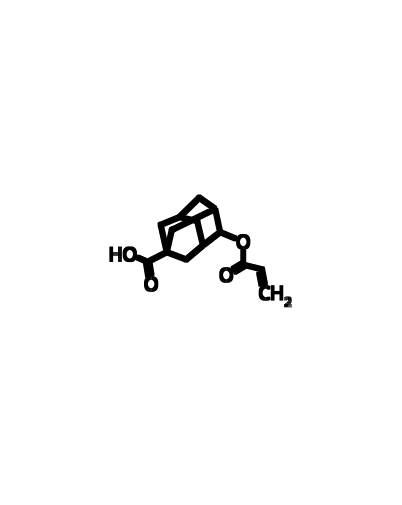 C=CC(=O)OC1C2CC3CC1CC(C(=O)O)(C3)C2